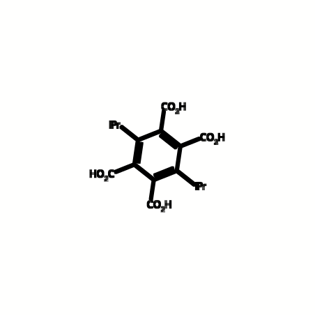 CC(C)c1c(C(=O)O)c(C(=O)O)c(C(C)C)c(C(=O)O)c1C(=O)O